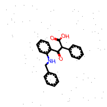 O=C(O)C(C(=O)c1ccccc1NCc1ccccc1)c1ccccc1